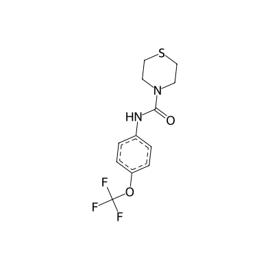 O=C(Nc1ccc(OC(F)(F)F)cc1)N1CCSCC1